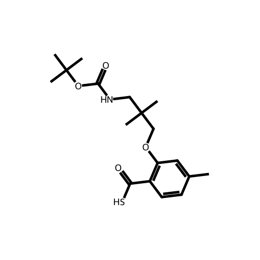 Cc1ccc(C(=O)S)c(OCC(C)(C)CNC(=O)OC(C)(C)C)c1